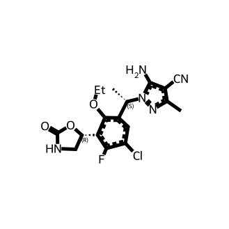 CCOc1c([C@H](C)n2nc(C)c(C#N)c2N)cc(Cl)c(F)c1[C@@H]1CNC(=O)O1